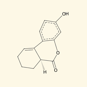 O=C1Oc2cc(O)ccc2C2=CCCC[C@H]12